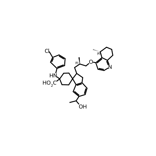 CC(O)c1ccc2c(c1)C1(CCC(Nc3cccc(Cl)c3)(C(=O)O)CC1)C(C[C@@H](C)COc1ccnc3c1[C@H](C)CCC3)C2